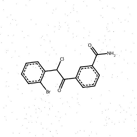 NC(=O)c1cccc(C(=O)C(Cl)c2ccccc2Br)c1